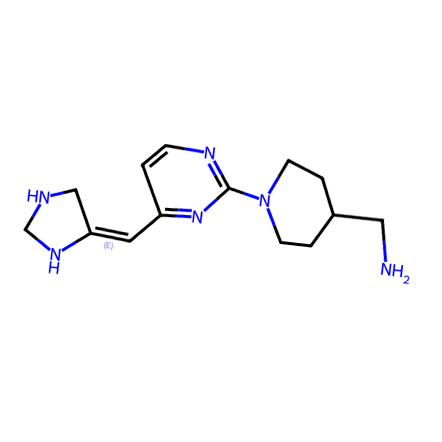 NCC1CCN(c2nccc(/C=C3\CNCN3)n2)CC1